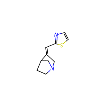 C(=C1CN2CCC1C2)c1nccs1